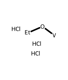 CC[O][V].Cl.Cl.Cl